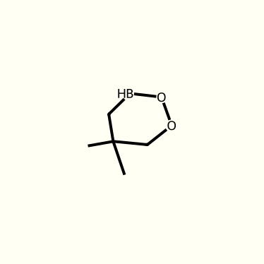 CC1(C)CBOOC1